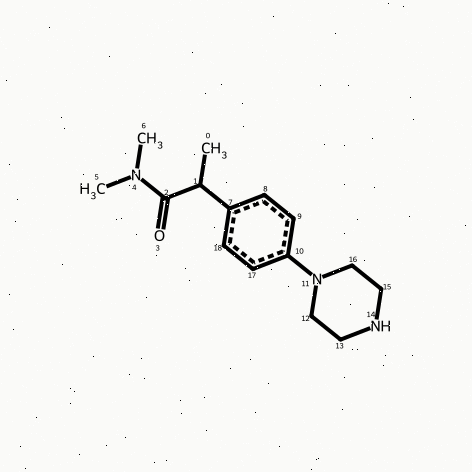 CC(C(=O)N(C)C)c1ccc(N2CCNCC2)cc1